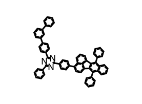 c1ccc(-c2cccc(-c3ccc(-c4nc(-c5ccccc5)nc(-c5ccc(-c6ccc7c8c(cccc68)-c6c-7c(-c7ccccc7)c7ccccc7c6-c6ccccc6)cc5)n4)cc3)c2)cc1